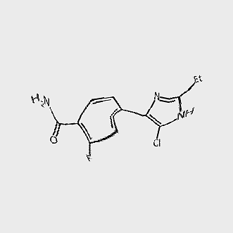 CCc1nc(-c2ccc(C(N)=O)c(F)c2)c(Cl)[nH]1